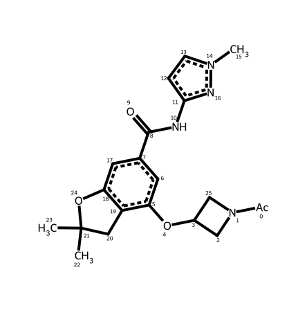 CC(=O)N1CC(Oc2cc(C(=O)Nc3ccn(C)n3)cc3c2CC(C)(C)O3)C1